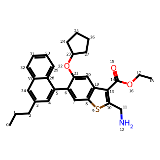 CCCc1cc(-c2cc3sc(CN)c(C(=O)OCC)c3cc2OC2CCCC2)c2ccccc2c1